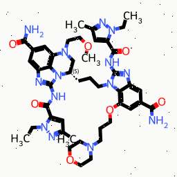 CCn1nc(C)cc1C(=O)Nc1nc2cc(C(N)=O)cc(OCCCN3CCOCC3)c2n1CCC[C@H]1CN(CCOC)c2cc(C(N)=O)cc3nc(NC(=O)c4cc(C)nn4CC)n1c23